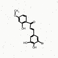 COc1ccc(C(=O)/C=C/c2cc(O)c(O)c(Br)c2)c(O)c1